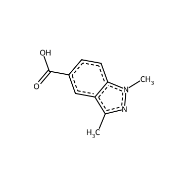 Cc1nn(C)c2ccc(C(=O)O)cc12